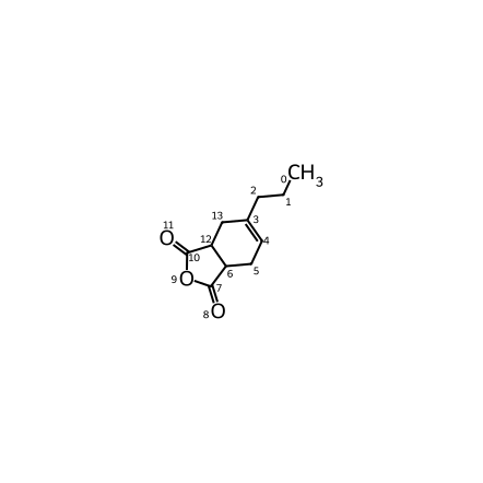 CCCC1=CCC2C(=O)OC(=O)C2C1